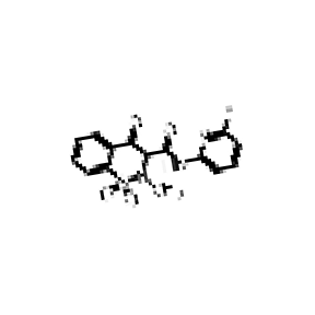 CN1C(C(=O)Nc2cccc(F)n2)C(=O)c2ccccc2S1(=O)=O